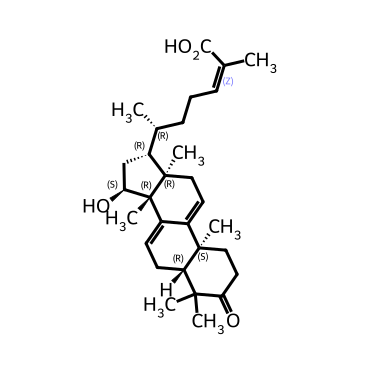 C/C(=C/CC[C@@H](C)[C@H]1C[C@H](O)[C@@]2(C)C3=CC[C@H]4C(C)(C)C(=O)CC[C@]4(C)C3=CC[C@]12C)C(=O)O